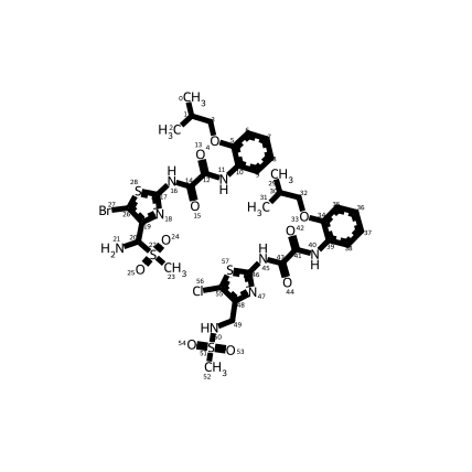 CC(C)COc1ccccc1NC(=O)C(=O)Nc1nc(C(N)S(C)(=O)=O)c(Br)s1.CC(C)COc1ccccc1NC(=O)C(=O)Nc1nc(CNS(C)(=O)=O)c(Cl)s1